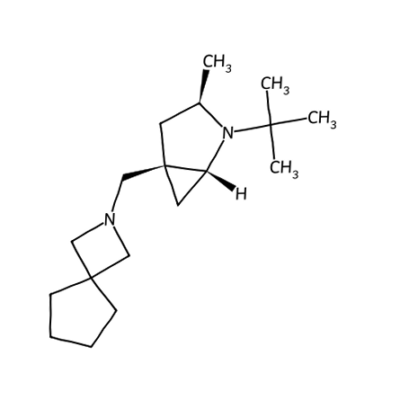 C[C@@H]1C[C@@]2(CN3CC4(CCCC4)C3)C[C@H]2N1C(C)(C)C